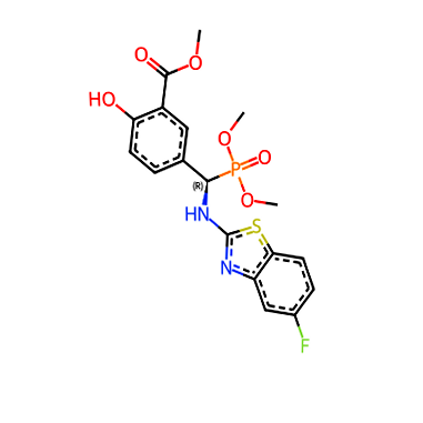 COC(=O)c1cc([C@H](Nc2nc3cc(F)ccc3s2)P(=O)(OC)OC)ccc1O